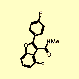 CNC(=O)c1c(-c2ccc(F)cc2)oc2cccc(F)c12